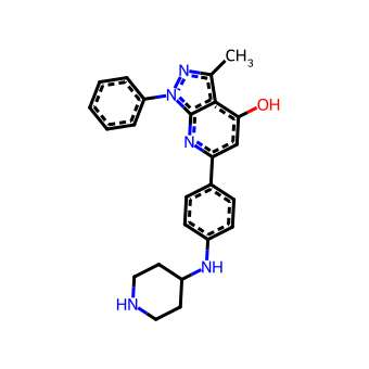 Cc1nn(-c2ccccc2)c2nc(-c3ccc(NC4CCNCC4)cc3)cc(O)c12